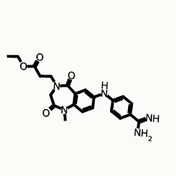 CCOC(=O)CCN1CC(=O)N(C)c2ccc(Nc3ccc(C(=N)N)cc3)cc2C1=O